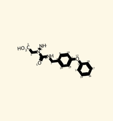 [NH]N(CC(=O)O)C(=O)NCc1ccc(Oc2ccccc2)cc1